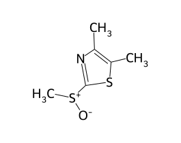 Cc1nc([S+](C)[O-])sc1C